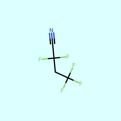 N#CC(F)(F)CC(F)(F)F